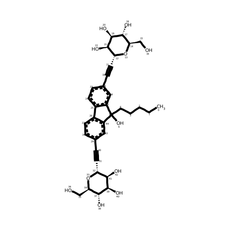 CCCCCC1(O)c2cc(C#C[C@H]3O[C@H](CO)[C@@H](O)[C@H](O)[C@@H]3O)ccc2-c2ccc(C#C[C@H]3O[C@H](CO)[C@@H](O)[C@H](O)[C@@H]3O)cc21